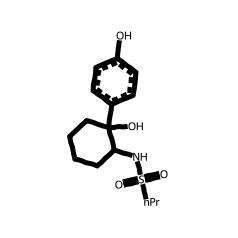 CCCS(=O)(=O)NC1CCCCC1(O)c1ccc(O)cc1